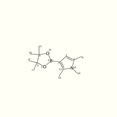 Cc1cc(B2OC(C)(C)C(C)(C)O2)c(C)n1C